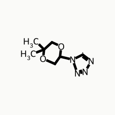 CC1(C)COC(n2[c]nnn2)CO1